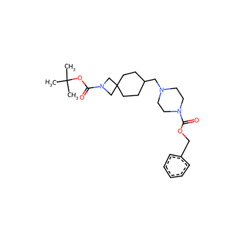 CC(C)(C)OC(=O)N1CC2(CCC(CN3CCN(C(=O)OCc4ccccc4)CC3)CC2)C1